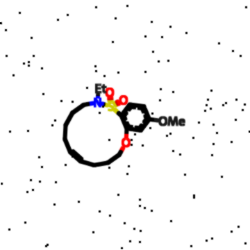 CCN1CCCCC=CCCCOc2cc(OC)ccc2S1(=O)=O